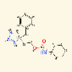 O=C(NC1CCCCC1)OCCC1(Cc2ccccc2)C=NN=N1